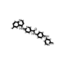 Cc1ccc2nccc(Nc3ccc(C(=O)Nc4ccc(Nc5ccnc(C)c5)cc4)cn3)c2c1